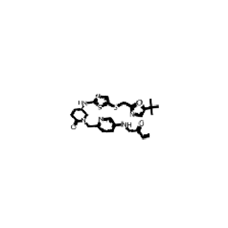 C=CC(=O)CNc1ccc(CN2C[C@H](Nc3ncc(SCc4ncc(C(C)(C)C)o4)s3)CCC2=O)nc1